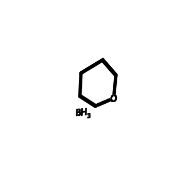 B.C1CCOCC1